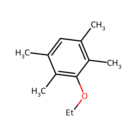 CCOc1c(C)c(C)cc(C)c1C